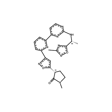 Cc1noc([C@@H](C)Nc2nccc(-c3cccc(-c4cc([C@@H]5CCN(C)C5=O)on4)n3)n2)n1